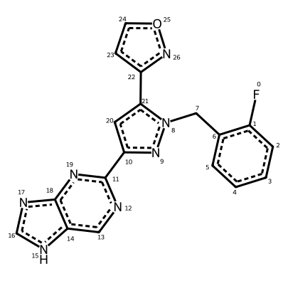 Fc1ccccc1Cn1nc(-c2ncc3[nH]cnc3n2)cc1-c1ccon1